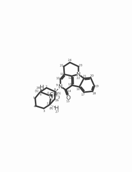 CN1[C@@H]2CCC[C@H]1C[C@H](n1cc3c4c(c1=O)c1ccccc1n4CCC3)C2